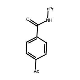 CCCNC(=O)c1ccc(C(C)=O)cc1